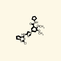 COc1cc(-n2cnc(Nc3nc(Cl)nn4cccc34)c2)cc(C(=O)NC2CCCC2)c1OC